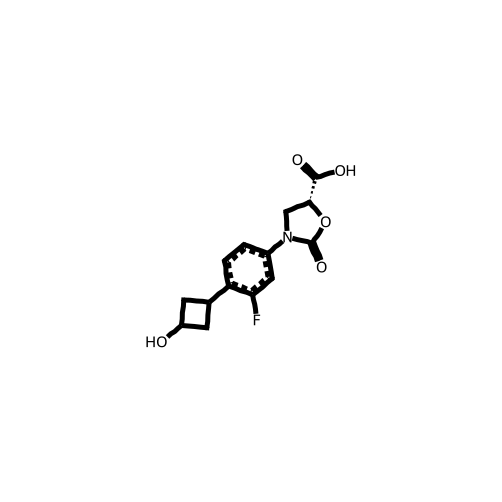 O=C(O)[C@H]1CN(c2ccc(C3CC(O)C3)c(F)c2)C(=O)O1